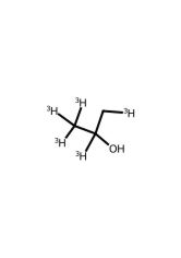 [3H]CC([3H])(O)C([3H])([3H])[3H]